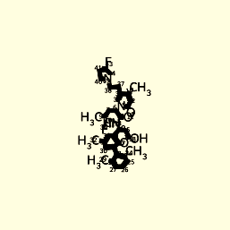 Cc1cc(=O)n(C(CC(C)C)C(=O)NC(CC(=O)O)c2cc(-c3c(C)cccc3C)cc(C)c2F)cc1CCN1CC[C@@H](F)C1